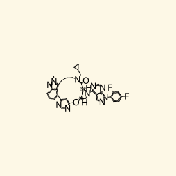 Cn1nc2cccc3c2c1CCCN(CC1CC1)C(=O)[C@@H]1C[C@@H](CN1c1ncnc2c1cnn2-c1ccc(F)cc1F)Oc1cc-3ncn1